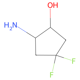 NC1CC(F)(F)CC1O